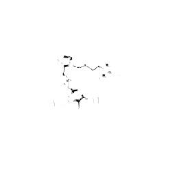 Cc1sc(=NN=Cc2[nH]cc[n+]2CCCCS(=O)(=O)O)n(C)c1C